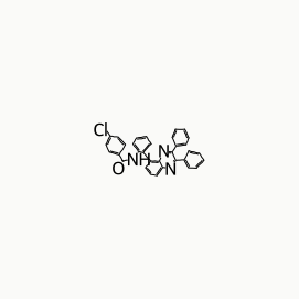 O=C(Nc1ccccc1-c1cccc2nc(-c3ccccc3)c(-c3ccccc3)nc12)c1ccc(Cl)cc1